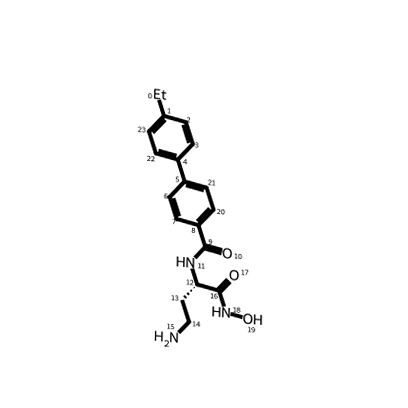 CCc1ccc(-c2ccc(C(=O)N[C@@H](CCN)C(=O)NO)cc2)cc1